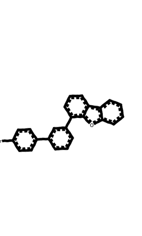 Brc1ccc(-c2c[c]cc(-c3cccc4c3oc3ccccc34)c2)cc1